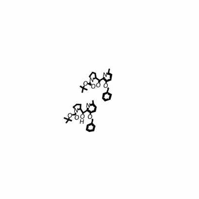 Cc1ccc(OCc2ccccc2)c(C(=O)C2CCCN2C(=O)OC(C)(C)C)n1.Cc1ccc(OCc2ccccc2)c(C(O)C2CCCN2C(=O)OC(C)(C)C)n1